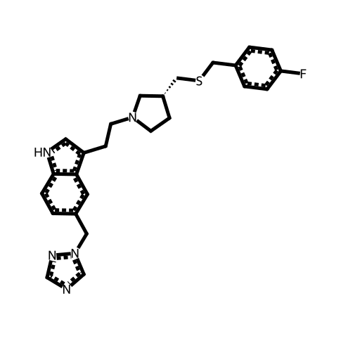 Fc1ccc(CSC[C@@H]2CCN(CCc3c[nH]c4ccc(Cn5cncn5)cc34)C2)cc1